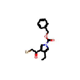 CCc1cn(C(=O)OCc2ccccc2)cc1C(=O)CBr